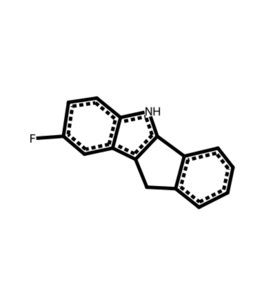 Fc1ccc2[nH]c3c(c2c1)Cc1ccccc1-3